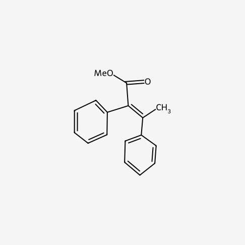 COC(=O)C(=C(C)c1ccccc1)c1ccccc1